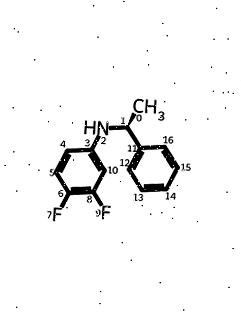 C[C@H](Nc1ccc(F)c(F)c1)c1ccccc1